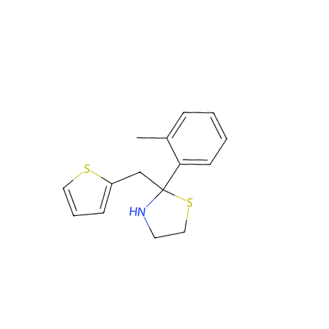 Cc1ccccc1C1(Cc2cccs2)NCCS1